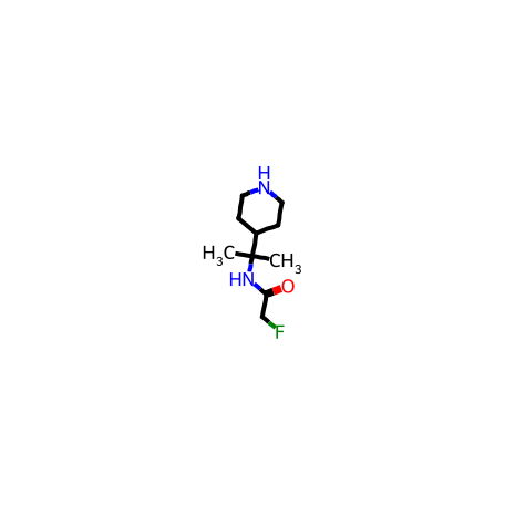 CC(C)(NC(=O)CF)C1CCNCC1